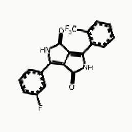 O=C1NC(c2ccccc2C(F)(F)F)=C2C(=O)NC(c3cccc(F)c3)=C12